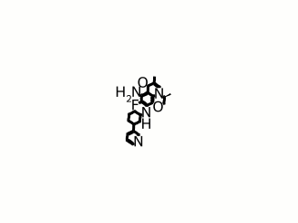 Cc1cn2c3c(c(NC4CCCC(c5cccnc5)C4)c(F)c(N)c3c1=O)OC[C@@H]2C